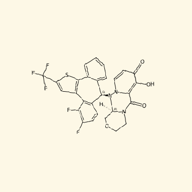 O=C1c2c(O)c(=O)ccn2N([C@@H]2c3ccccc3-c3sc(C(F)(F)F)cc3-c3c2ccc(F)c3F)[C@@H]2COCCN12